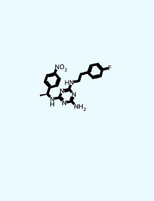 C[C@H](Nc1nc(N)nc(NCCc2ccc(F)cc2)n1)c1ccc([N+](=O)[O-])cc1